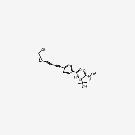 CC(C)(O)[C@H](NC(=O)c1ccc(C#CC#CC2CC2CO)cc1)C(=O)NO